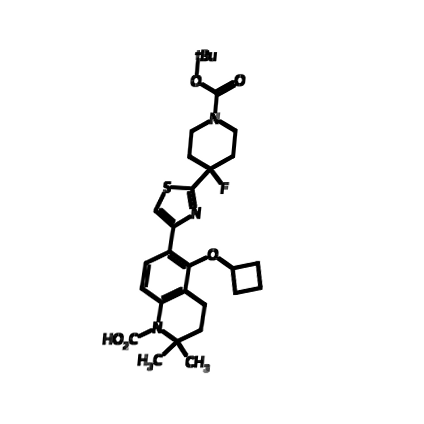 CC(C)(C)OC(=O)N1CCC(F)(c2nc(-c3ccc4c(c3OC3CCC3)CCC(C)(C)N4C(=O)O)cs2)CC1